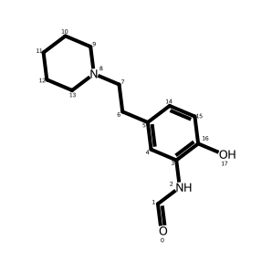 O=CNc1cc(CCN2CCCCC2)ccc1O